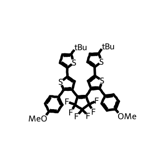 COc1ccc(-c2sc(-c3ccc(C(C)(C)C)s3)cc2C2=C(c3cc(-c4ccc(C(C)(C)C)s4)sc3-c3ccc(OC)cc3)C(F)(F)C(F)(F)C2(F)F)cc1